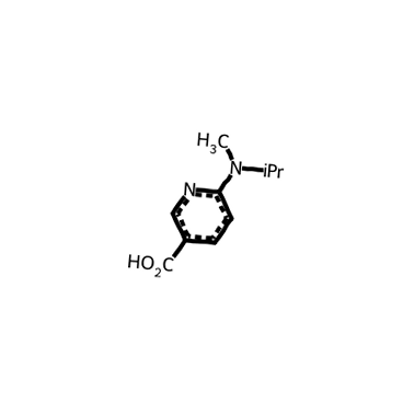 CC(C)N(C)c1ccc(C(=O)O)cn1